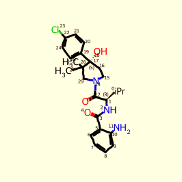 CC(C)[C@@H](NC(=O)c1ccccc1N)C(=O)N1CC[C@](O)(c2ccc(Cl)cc2)C(C)(C)C1